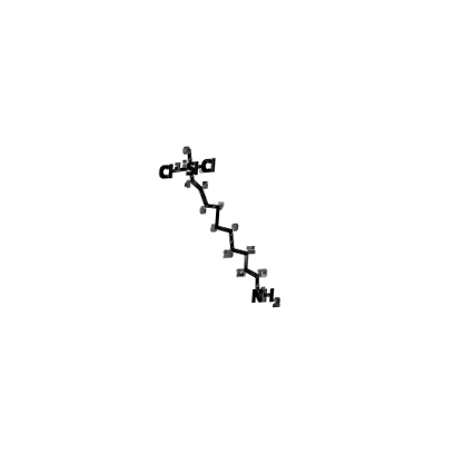 C[Si](Cl)(Cl)CCCCCCCCCCN